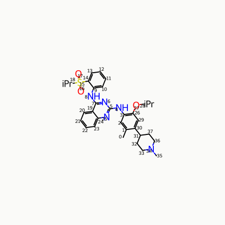 Cc1cc(Nc2nc(Nc3ccccc3S(=O)(=O)C(C)C)c3ccccc3n2)c(OC(C)C)cc1C1CCN(C)CC1